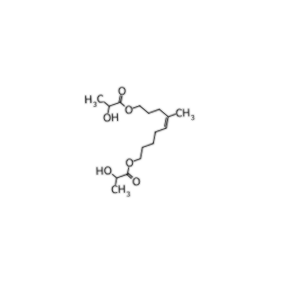 CC(=CCCCCOC(=O)C(C)O)CCCOC(=O)C(C)O